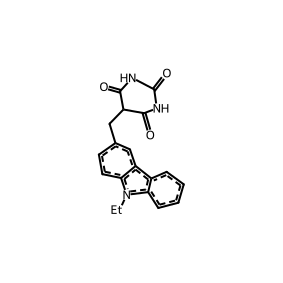 CCn1c2ccccc2c2cc(CC3C(=O)NC(=O)NC3=O)ccc21